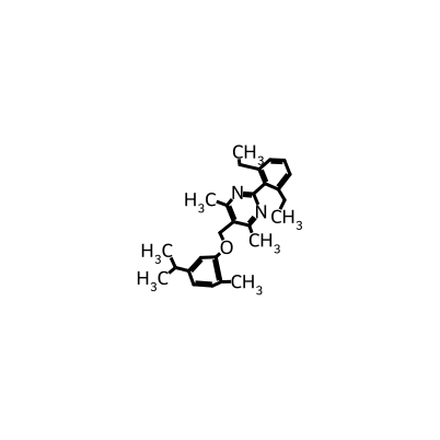 CCc1cccc(CC)c1-c1nc(C)c(COc2cc(C(C)C)ccc2C)c(C)n1